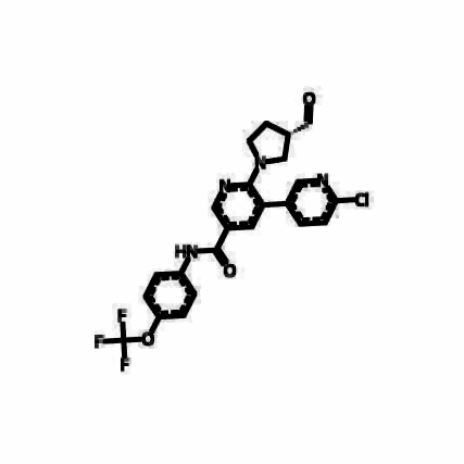 O=C[C@H]1CCN(c2ncc(C(=O)Nc3ccc(OC(F)(F)F)cc3)cc2-c2ccc(Cl)nc2)C1